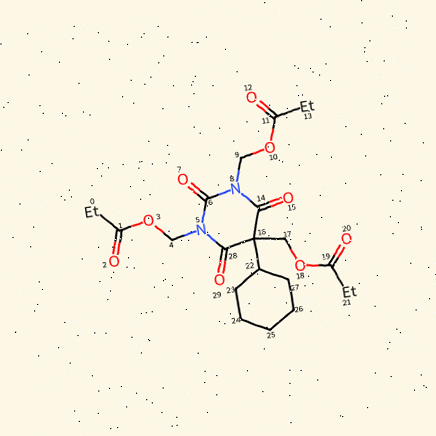 CCC(=O)OCN1C(=O)N(COC(=O)CC)C(=O)C(COC(=O)CC)(C2CCCCC2)C1=O